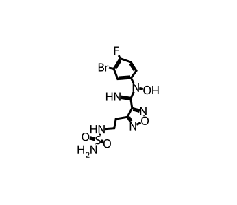 N=C(c1nonc1CCNS(N)(=O)=O)N(O)c1ccc(F)c(Br)c1